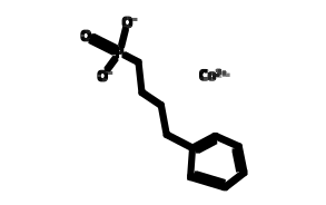 O=P([O-])([O-])CCCCc1ccccc1.[Co+2]